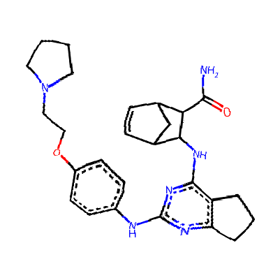 NC(=O)C1C2C=CC(C2)C1Nc1nc(Nc2ccc(OCCN3CCCC3)cc2)nc2c1CCC2